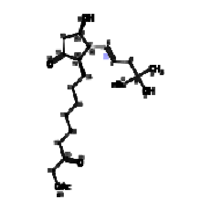 CCCCC(C)(O)C/C=C/[C@H]1[C@H](O)CC(=O)[C@@H]1CCCCCCC(=O)COC(C)=O